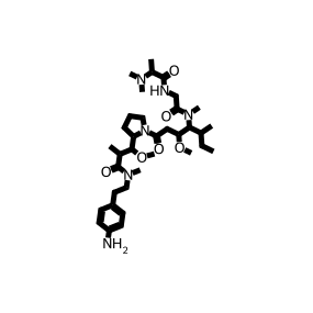 CCC(C)C(C(CC(=O)N1CCCC1C(OC)C(C)C(=O)N(C)CCc1ccc(N)cc1)OC)N(C)C(=O)CNC(=O)C(C)N(C)C